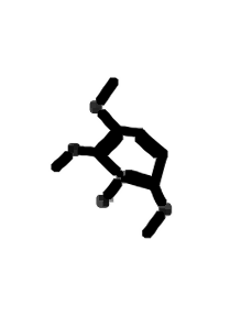 COc1[c]cc(OC)[n+]([O-])c1OC